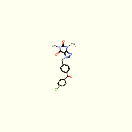 CC(C)n1c(=O)c2c(ncn2Cc2ccc(C(=O)c3ccc(Cl)cc3)cc2)n(C)c1=O